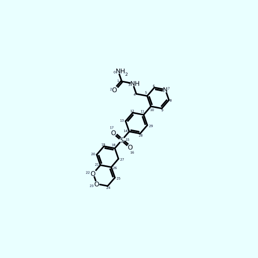 NC(=O)NCc1cnccc1-c1ccc(S(=O)(=O)C2=CC=C3OOCC=C3C2)cc1